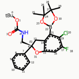 CC(C)(C)OC(=O)NC[C@@]1(c2ccccc2)Cc2c(cc(F)c(Cl)c2B2OC(C)(C)C(C)(C)O2)O1